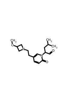 COC1CN(CCc2ccc(=O)n(C(C=O)CC(C)C)c2)C1